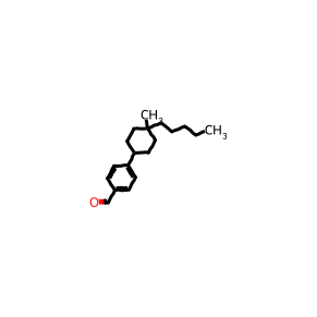 CCCCCC1(C)CCC(c2ccc(C=O)cc2)CC1